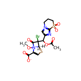 CO[N+]12C(=O)C(Br)(C(OC(C)=O)c3cn4c(n3)S(=O)(=O)CCC4)[C@H]1SC=C2C(=O)[O-]